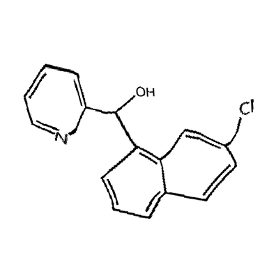 OC(c1ccccn1)c1cccc2ccc(Cl)cc12